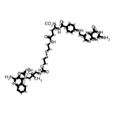 CCCCc1nc2c(N)nc3ccccc3c2n1CC(C)(C)CNC(=O)OCCSSCCNC(=O)CCC(NC(=O)c1ccc(NCc2cnc3nc(N)[nH]c(=O)c3n2)cc1)C(=O)O